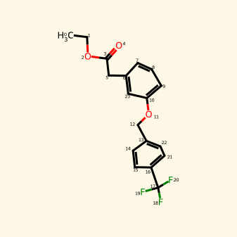 CCOC(=O)Cc1cccc(OCc2ccc(C(F)(F)F)cc2)c1